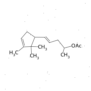 CC(=O)OC(C)CC=CC1CC=C(C)C1(C)C